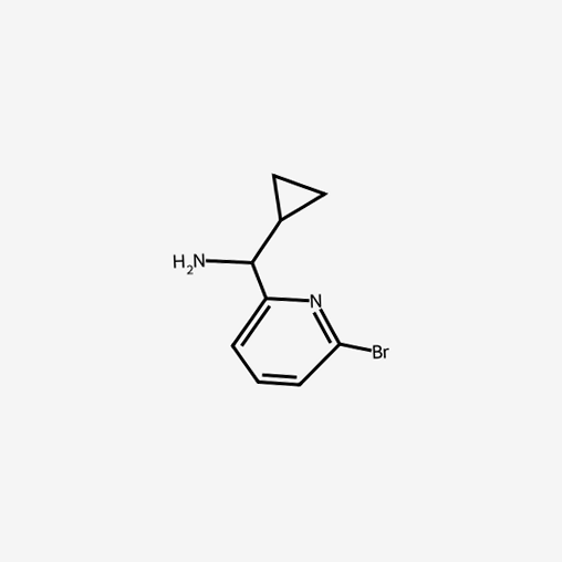 NC(c1cccc(Br)n1)C1CC1